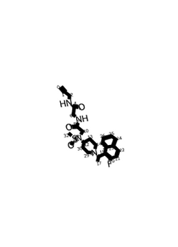 C#CCNC(=O)CNC(=O)CN(C1CCN(C(C)c2c(F)ccc3ccccc23)CC1)[S+](C)[O-]